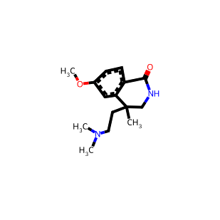 COc1ccc2c(c1)C(C)(CCN(C)C)CNC2=O